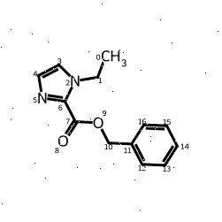 CCn1ccnc1C(=O)OCc1ccccc1